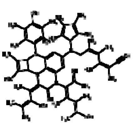 B=C(B)/C(=C(B)\C(B)=C(/C)CCCC)N1C(=B)/C(=C(B)\C(CCCC)=C(\B)C)B2c3c1cc(N(C/C(B)=C(B)\C(B)=C(\B)C#C)C1C(B)=C(B)C(B)=C1B)cc3N(c1c(B)c(B)c(CCCC)c(B)c1B)C1C(B)=C(CCCC)C21